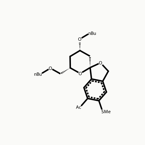 CCCCOC[C@@H]1C[C@H](OCCCC)C[C@@]2(OCc3cc(SC)c(C(C)=O)cc32)O1